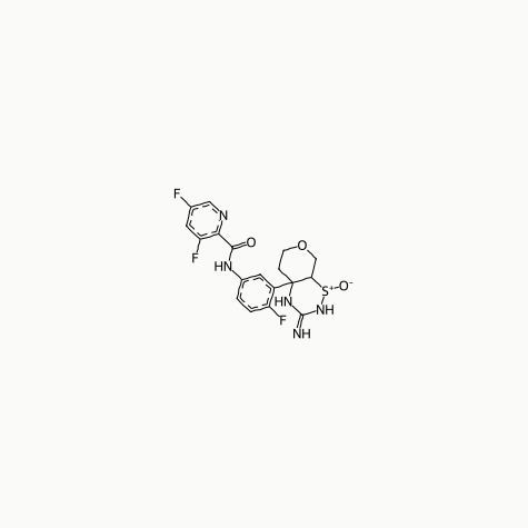 N=C1N[S+]([O-])C2COCCC2(c2cc(NC(=O)c3ncc(F)cc3F)ccc2F)N1